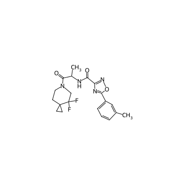 Cc1cccc(-c2nc(C(=O)NC(C)C(=O)N3CCC4(CC4)C(F)(F)C3)no2)c1